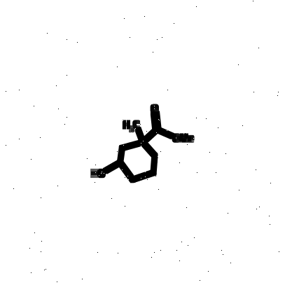 COC(=O)C1(C)CCCC(O)C1